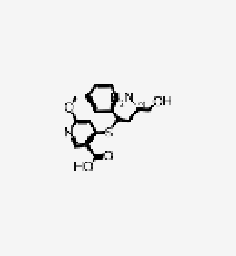 COc1cc(SC(C[C@H](N)CO)c2ccccc2)c(C(=O)O)cn1